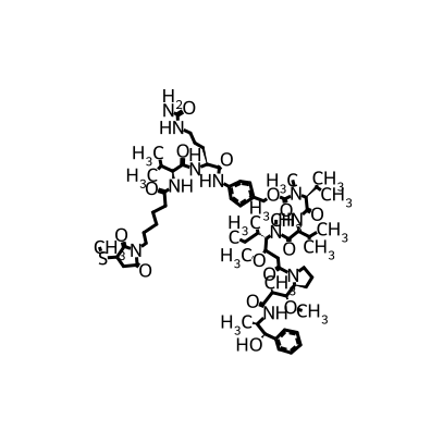 CCC(C)[C@@H](C(CC(=O)N1CCC[C@H]1[C@H](OC)[C@@H](C)C(=O)N[C@H](C)[C@@H](O)c1ccccc1)OC)N(C)C(=O)[C@@H](NC(=O)[C@H](C(C)C)N(C)C(=O)OCc1ccc(NC(=O)[C@H](CCCNC(N)=O)NC(=O)[C@@H](NC(=O)CCCCCN2C(=O)CC(SC)C2=O)C(C)C)cc1)C(C)C